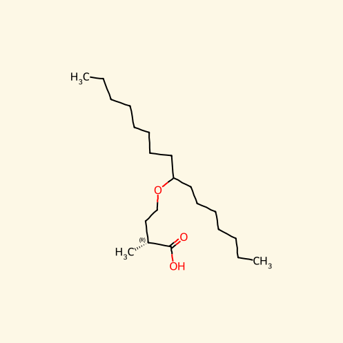 CCCCCCCCC(CCCCCCC)OCC[C@@H](C)C(=O)O